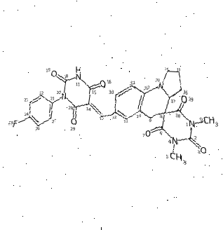 CN1C(=O)N(C)C(=O)C2(Cc3cc(/C=C4\C(=O)NC(=O)N(c5ccc(F)cc5)C4=O)ccc3N3CCCC32)C1=O